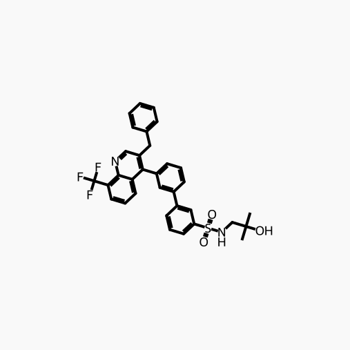 CC(C)(O)CNS(=O)(=O)c1cccc(-c2cccc(-c3c(Cc4ccccc4)cnc4c(C(F)(F)F)cccc34)c2)c1